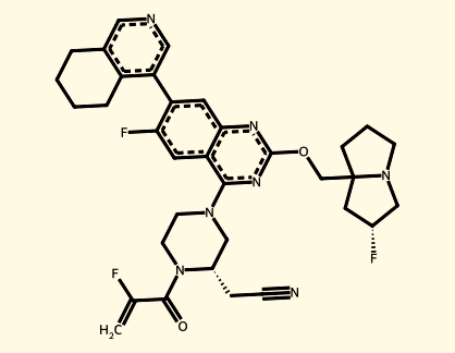 C=C(F)C(=O)N1CCN(c2nc(OCC34CCCN3C[C@H](F)C4)nc3cc(-c4cncc5c4CCCC5)c(F)cc23)C[C@@H]1CC#N